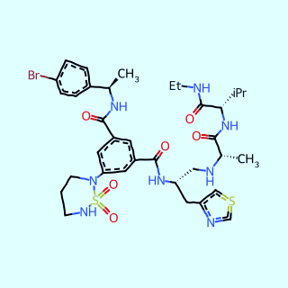 CCNC(=O)[C@@H](NC(=O)[C@H](C)NC[C@H](Cc1cscn1)NC(=O)c1cc(C(=O)N[C@H](C)c2ccc(Br)cc2)cc(N2CCCNS2(=O)=O)c1)C(C)C